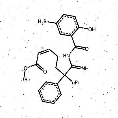 Bc1ccc(O)c(C(=O)NC(=N)C(CCC)(CC/C=C\C(=O)OC(C)(C)C)c2ccccc2)c1